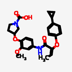 CC=C(Oc1ccc(C2CC2)cc1)C(=O)Nc1ccc(OC2CCN(C(=O)O)C2)c(OC)c1